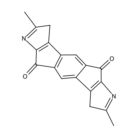 CC1=Nc2c(c3cc4c(=O)c5c(c4cc3c2=O)CC(C)=N5)C1